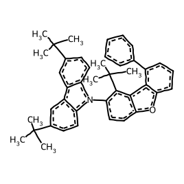 CC(C)(C)c1ccc2c(c1)c1cc(C(C)(C)C)ccc1n2-c1ccc2oc3cccc(-c4ccccc4)c3c2c1C(C)(C)C